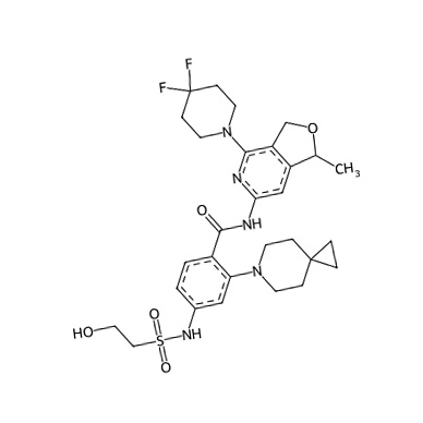 CC1OCc2c1cc(NC(=O)c1ccc(NS(=O)(=O)CCO)cc1N1CCC3(CC1)CC3)nc2N1CCC(F)(F)CC1